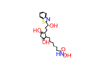 O=C(CCCCCCC1C(CCC(O)c2nc3ccccc3s2)[C@H](O)C[C@@H]1O)NO